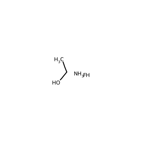 CCO.F.N